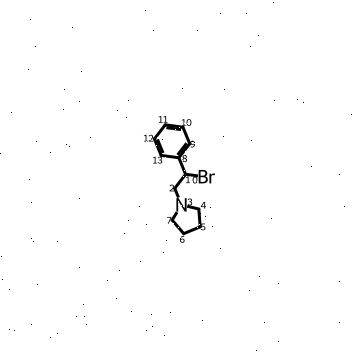 BrC(CN1CCCC1)c1ccccc1